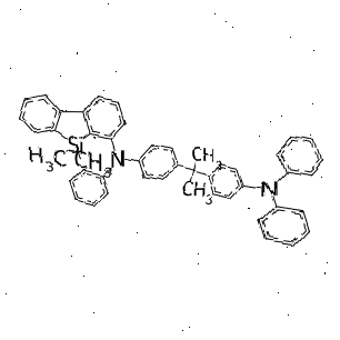 CC(C)(c1ccc(N(c2ccccc2)c2ccccc2)cc1)c1ccc(N(c2ccccc2)c2cccc3c2[Si](C)(C)c2ccccc2-3)cc1